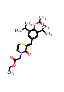 CCOC(=O)CN1C=CS/C(=C\c2cc(C(C)C)c(OC(C)=O)c(C(C)C)c2)C1=O